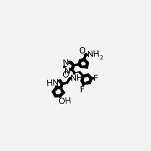 NC(=O)c1cccc(-c2cncnc2[C@@H](Cc2cc(F)cc(F)c2)NC(=O)Cc2c[nH]c3ccc(O)cc23)c1